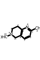 Cc1ccc2c(n1)CCN(C=O)C2